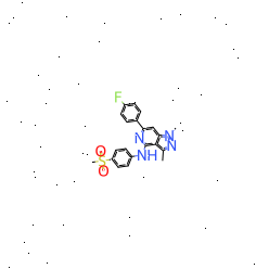 Cc1nn(C)c2cc(-c3ccc(F)cc3)nc(Nc3ccc(S(C)(=O)=O)cc3)c12